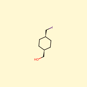 OC[C@H]1CC[C@@H](CI)CC1